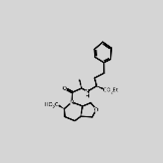 CCOC(=O)[C@H](CCc1ccccc1)NC(C)C(=O)N1C2COCC2CC[C@H]1C(=O)O